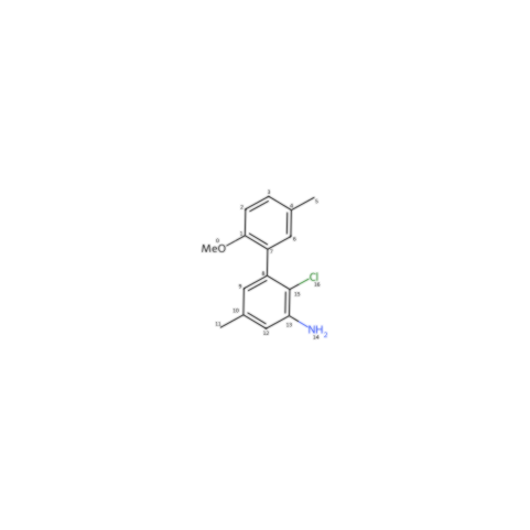 COc1ccc(C)cc1-c1cc(C)cc(N)c1Cl